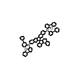 c1ccc(-c2cccc(N(c3ccc4cc5c(cc4c3)C3(c4cc6cc(N(c7cccc(-c8ccccc8)c7)c7cccc8c7oc7ccccc78)ccc6cc4-5)c4ccccc4-c4c3ccc3ccccc43)c3cccc4c3oc3ccccc34)c2)cc1